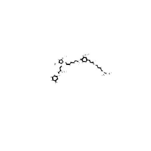 COc1cc(/C=C/C(=O)OCCCCON(O)O)ccc1OC(=O)CCC/C=C\C[C@@H]1[C@@H](/C=C/[C@@H](O)COc2cccc(Cl)c2)[C@H](O)C[C@@H]1O